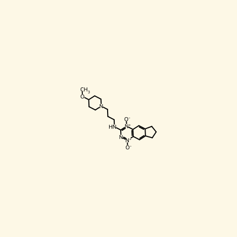 COC1CCN(CCCNc2n[n+]([O-])c3cc4c(cc3[n+]2[O-])CCC4)CC1